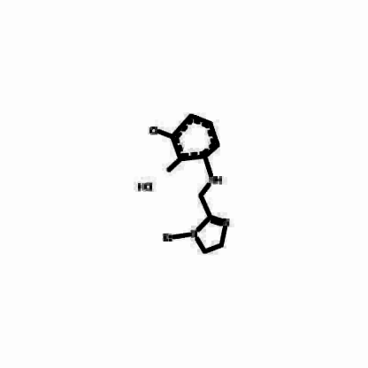 CCN1CCN=C1CNc1cccc(Cl)c1C.Cl